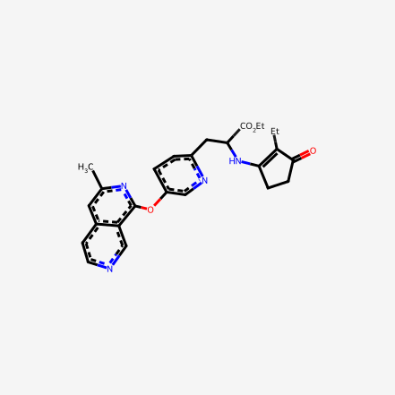 CCOC(=O)C(Cc1ccc(Oc2nc(C)cc3ccncc23)cn1)NC1=C(CC)C(=O)CC1